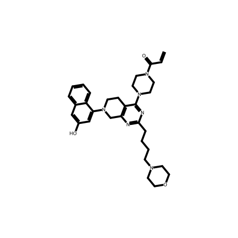 C=CC(=O)N1CCN(c2nc(CCCCN3CCOCC3)nc3c2CCN(c2cc(O)cc4ccccc24)C3)CC1